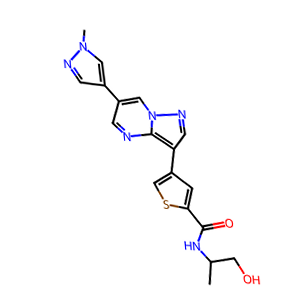 CC(CO)NC(=O)c1cc(-c2cnn3cc(-c4cnn(C)c4)cnc23)cs1